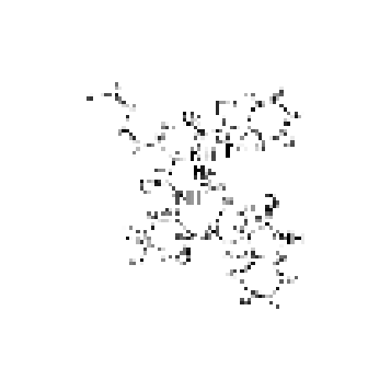 C=C(/C=C\C=C/C)[C@H](NC(=O)C(F)(F)c1ccccc1)C(=O)N[C@@H](CC(C)(C)C)C(=O)N1C[C@]2(C[C@H]1C#N)C(=O)Nc1ccccc12